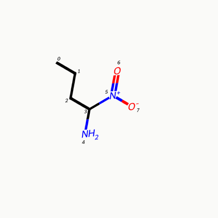 CCCC(N)[N+](=O)[O-]